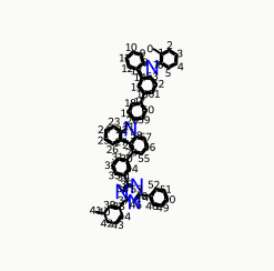 Cc1ccccc1-n1c2ccccc2c2cc(-c3ccc(-n4c5ccccc5c5c(-c6cccc(-c7nc(C8=CC(C)CC=C8)nc(-c8ccccc8)n7)c6)cccc54)cc3)ccc21